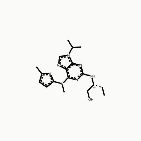 CC[C@H](CO)Nc1nc(N(C)c2ccc(C)s2)c2ncn(C(C)C)c2n1